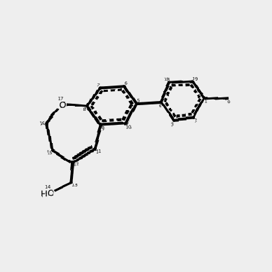 Cc1ccc(-c2ccc3c(c2)C=C(CO)CCO3)cc1